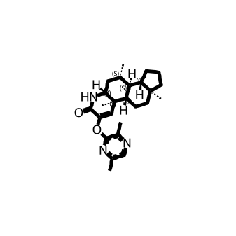 Cc1cnc(C)c(OC2=C[C@@]3(C)[C@@H](C[C@H](C)[C@H]4[C@@H]5CCC[C@@]5(C)CC[C@@H]43)NC2=O)n1